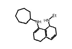 CCNC1CC=CC2=C1C(NC1CCCCCC1)=CCC2